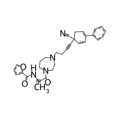 C[C@@H](NC(=O)c1ccco1)C(=O)N1CCCN(CCC#CC2(C#N)C=CC(c3ccccc3)=CC2)CC1